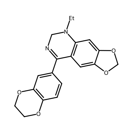 CCN1CN=C(c2ccc3c(c2)OCCO3)c2cc3c(cc21)OCO3